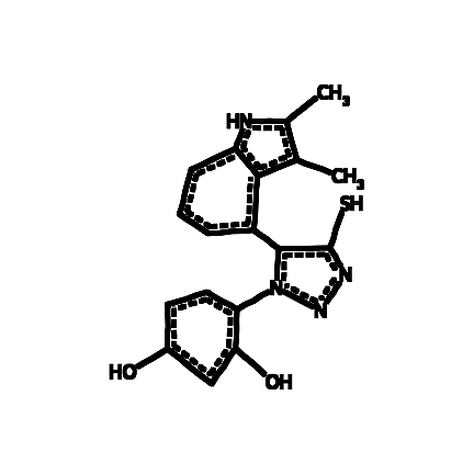 Cc1[nH]c2cccc(-c3c(S)nnn3-c3ccc(O)cc3O)c2c1C